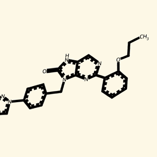 CCCOc1ccccc1-c1ncc2[nH]c(=O)n(Cc3ccc(-n4cccn4)cc3)c2n1